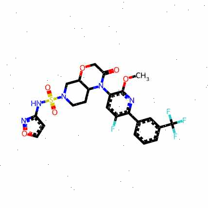 COc1nc(-c2cccc(C(F)(F)F)c2)c(F)cc1N1C(=O)COC2CN(S(=O)(=O)Nc3ccon3)CCC21